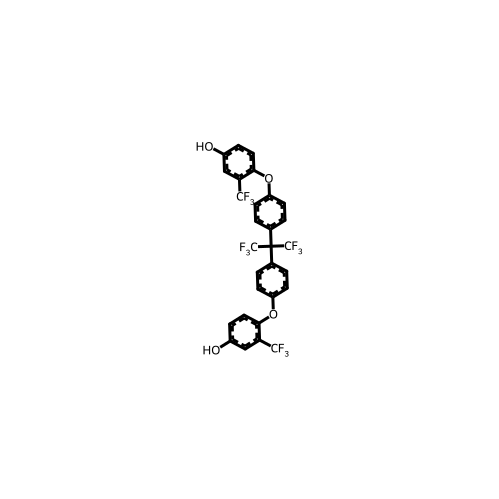 Oc1ccc(Oc2ccc(C(c3ccc(Oc4ccc(O)cc4C(F)(F)F)cc3)(C(F)(F)F)C(F)(F)F)cc2)c(C(F)(F)F)c1